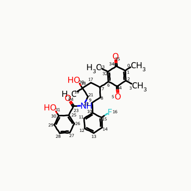 CC1=C(C)C(=O)C(C(CCc2ccccc2F)CC(C)(O)CNC(=O)c2ccccc2O)=C(C)C1=O